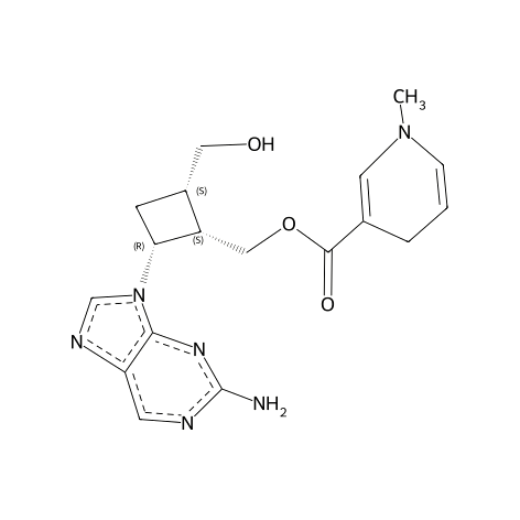 CN1C=CCC(C(=O)OC[C@H]2[C@@H](CO)C[C@H]2n2cnc3cnc(N)nc32)=C1